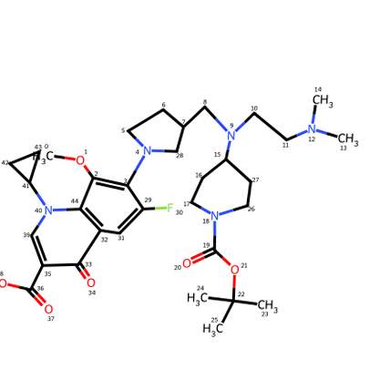 COc1c(N2CCC(CN(CCN(C)C)C3CCN(C(=O)OC(C)(C)C)CC3)C2)c(F)cc2c(=O)c(C(=O)O)cn(C3CC3)c12